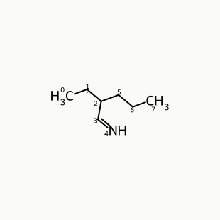 C[CH]C(C=N)CCC